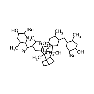 CC(C)C(C1CC(C(C)(C)C)C(O)CC1C)C1CC(C(C)(C)C23CCC2CC3C(C)(C)C2CC(CC3CC(C(C)(C)C)C(O)CC3C)C(C)CC2O)C(O)CC1C